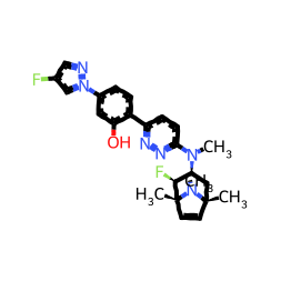 CN(c1ccc(-c2ccc(-n3cc(F)cn3)cc2O)nn1)[C@H]1C[C@]2(C)C=C[C@](C)([C@H]1F)N2C